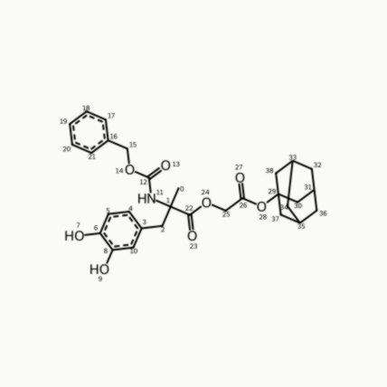 CC(Cc1ccc(O)c(O)c1)(NC(=O)OCc1ccccc1)C(=O)OCC(=O)OC12CC3CC(CC(C3)C1)C2